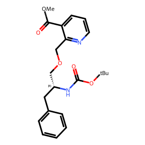 COC(=O)c1cccnc1COC[C@@H](Cc1ccccc1)NC(=O)OC(C)(C)C